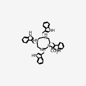 O=C(O)CN1C[C@H](Cc2c[nH]c3ccccc23)NC[C@H](Cc2c[nH]c3ccccc23)NC[C@H](Cc2c[nH]c3ccccc23)NC[C@@H]1Cc1c[nH]c2ccccc12